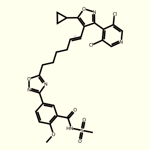 COc1ccc(-c2noc(CCCC/C=C/c3c(-c4c(Cl)cncc4Cl)noc3C3CC3)n2)cc1C(=O)NS(C)(=O)=O